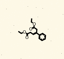 CCOC(=O)CC=C(CC(=O)OCC)c1ccccc1